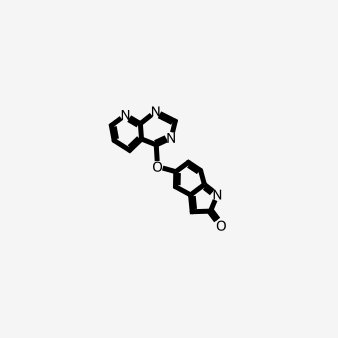 O=C1C=c2cc(Oc3ncnc4ncccc34)ccc2=N1